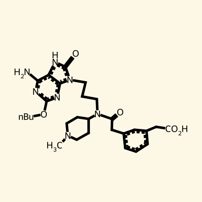 CCCCOc1nc(N)c2[nH]c(=O)n(CCCN(C(=O)Cc3cccc(CC(=O)O)c3)C3CCN(C)CC3)c2n1